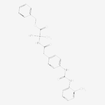 CCCC(C)(NC(=O)Cc1ccc(NC(=O)Nc2ccccc2C)cc1)C(=O)OCc1ccccc1